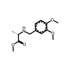 COC(=O)[C@H](C)NCc1ccc(OC)c(OC)c1